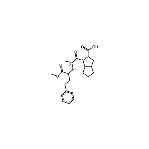 COC(=O)C(CCc1ccccc1)N[C@@H](C)C(=O)N1C(C(=O)O)CC2CCCC21